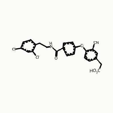 N#Cc1cc(CC(=O)O)ccc1Oc1ccc(C(=O)NCCc2ccc(Cl)cc2Cl)cc1